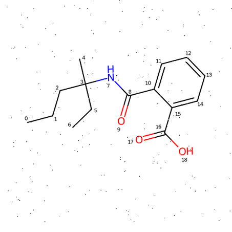 CCCC(C)(CC)NC(=O)c1ccccc1C(=O)O